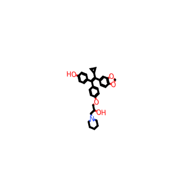 Oc1ccc(C(=C(c2ccc3c(c2)OCO3)C2CC2)c2ccc(OCC(O)CN3CCCCC3)cc2)cc1